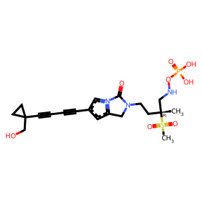 C[C@@](CCN1Cc2cc(C#CC#CC3(CO)CC3)cn2C1=O)(CNOP(=O)(O)O)S(C)(=O)=O